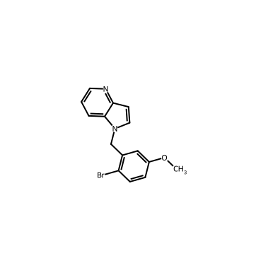 COc1ccc(Br)c(Cn2ccc3ncccc32)c1